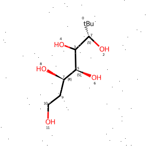 CC(C)(C)[C@H](O)C(O)[C@@H](O)[C@H](O)CCO